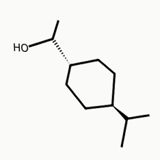 CC(C)[C@H]1CC[C@H](C(C)O)CC1